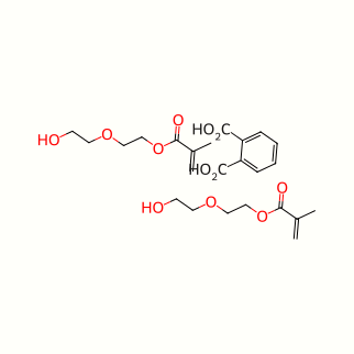 C=C(C)C(=O)OCCOCCO.C=C(C)C(=O)OCCOCCO.O=C(O)c1ccccc1C(=O)O